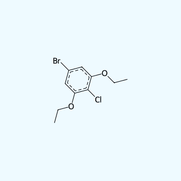 CCOc1cc(Br)cc(OCC)c1Cl